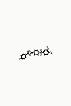 COc1ccc(S(=O)(=O)N2CCN(c3nc(-c4ccc(C)cc4)cs3)CC2)cc1OC